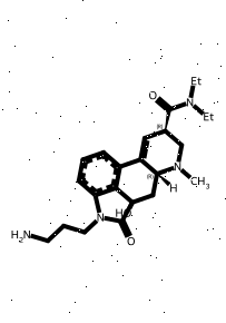 CCN(CC)C(=O)[C@@H]1C=C2c3cccc4c3C(O)(C[C@H]2N(C)C1)C(=O)N4CCCN